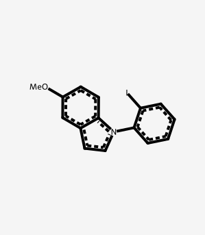 COc1ccc2c(ccn2-c2ccccc2I)c1